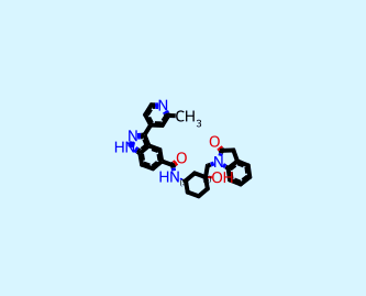 Cc1cc(-c2n[nH]c3ccc(C(=O)N[C@H]4CCC[C@@](O)(CN5C(=O)Cc6ccccc65)C4)cc23)ccn1